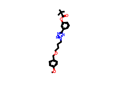 COc1ccc(COCCCCn2nnc(-c3cccc(OC(=O)C(C)(C)C)c3)n2)cc1